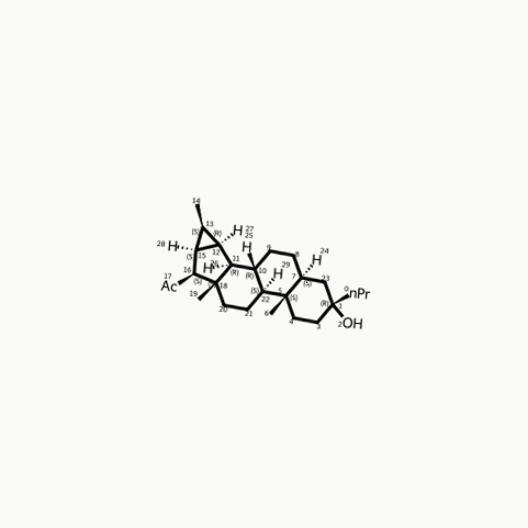 CCC[C@@]1(O)CC[C@@]2(C)[C@@H](CC[C@H]3[C@@H]4[C@@H]5[C@H](C)[C@@H]5[C@H](C(C)=O)[C@@]4(C)CC[C@@H]32)C1